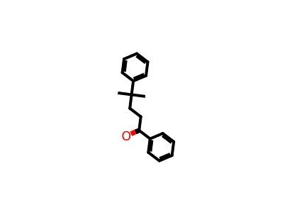 CC(C)(CCC(=O)c1ccccc1)c1ccccc1